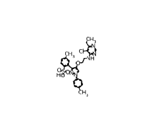 CCc1ncnc(NCCOc2cn(-c3ccc(C)cc3)nc2-c2cc(C)ccc2S(=O)(=O)O)c1Cl